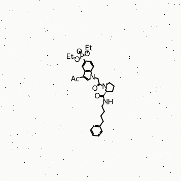 CCOP(=O)(OCC)c1ccc2c(c1)c(C(C)=O)cn2CC(=O)N1CCC[C@H]1C(=O)NCCCCc1ccccc1